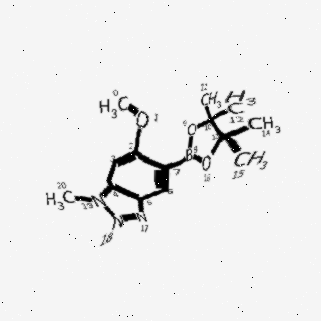 COc1cc2c(cc1B1OC(C)(C)C(C)(C)O1)nnn2C